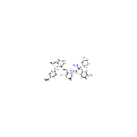 COc1ccc(S(=O)(=O)N2[C@@H](CCc3c(F)cccc3NC(=O)[C@@H](N)C(c3cccc(F)c3)c3cccc(F)c3)CNC[C@@H]2C)cc1